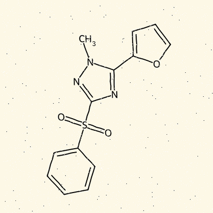 Cn1nc(S(=O)(=O)c2ccccc2)nc1-c1ccco1